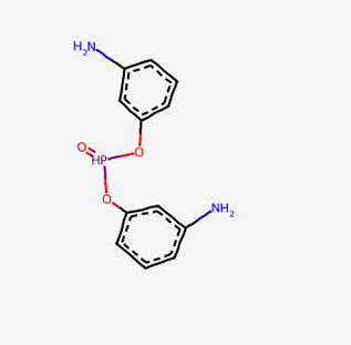 Nc1cccc(O[PH](=O)Oc2cccc(N)c2)c1